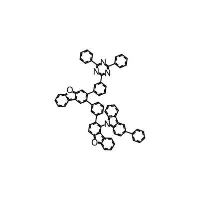 c1ccc(-c2ccc3c(c2)c2ccccc2n3-c2c(-c3cccc(-c4cc5c(cc4-c4cccc(-c6nc(-c7ccccc7)nc(-c7ccccc7)n6)c4)oc4ccccc45)c3)ccc3oc4ccccc4c23)cc1